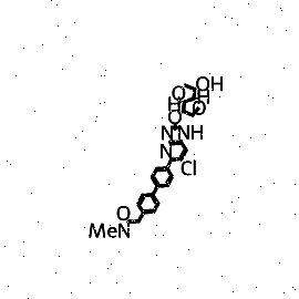 CNC(=O)Cc1ccc(-c2ccc(-c3nc4nc(O[C@@H]5CO[C@H]6[C@@H]5OC[C@H]6O)[nH]c4cc3Cl)cc2)cc1